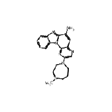 CN1CCCN(c2cnc3cc(N)c4nc5ccccc5n4c3n2)CC1